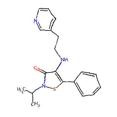 CC(C)n1sc(-c2ccccc2)c(NCCc2cccnc2)c1=O